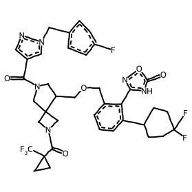 O=C(c1cnn(Cc2ccc(F)cc2)c1)N1CC(COCc2cccc(C3CCC(F)(F)CC3)c2-c2noc(=O)[nH]2)C2(C1)CN(C(=O)C1(C(F)(F)F)CC1)C2